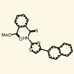 COC(=O)c1ccccc1C(=S)Nc1nc(-c2ccc3ccccc3c2)cs1